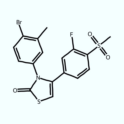 Cc1cc(-n2c(-c3ccc(S(C)(=O)=O)c(F)c3)csc2=O)ccc1Br